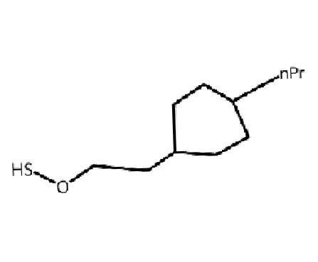 CCCC1CCC(CCOS)CC1